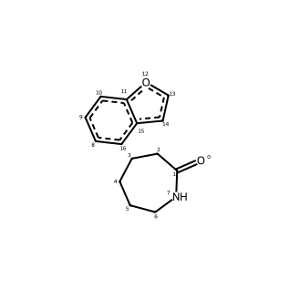 O=C1CCCCCN1.c1ccc2occc2c1